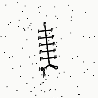 O=C(NF)C(F)(F)C(F)(F)C(F)(F)C(F)(F)C(F)(F)I